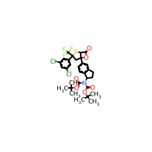 CC(C)(C)OC(=O)N(C(=O)OC(C)(C)C)C1CCc2cc(C34CC(c5cc(Cl)cc(Cl)c5)(C(F)(F)F)SC3C(=O)O4)ccc21